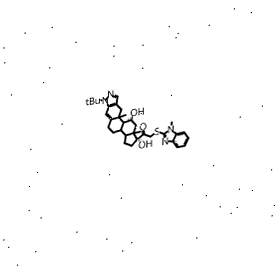 Cn1c(SCC(=O)[C@@]2(O)CCC3C4CCC5=Cc6c(cnn6C(C)(C)C)CC5(C)C4[C@@H](O)CC32C)nc2ccccc21